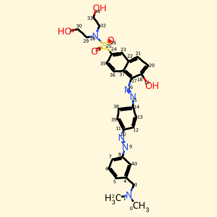 CN(C)Cc1cccc(/N=N/c2ccc(/N=N/c3c(O)ccc4cc(S(=O)(=O)N(CCO)CCO)ccc34)cc2)c1